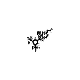 CC/C=C(N)\C=C/N1CNC(c2cc(C(F)(F)F)cc(C(F)(F)F)c2)=N1